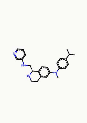 CC(C)c1ccc(N(C)c2ccc3c(c2)CCN[C@H]3CNc2cccnc2)cc1